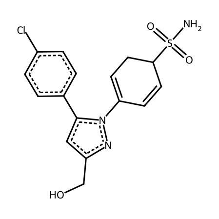 NS(=O)(=O)C1C=CC(n2nc(CO)cc2-c2ccc(Cl)cc2)=CC1